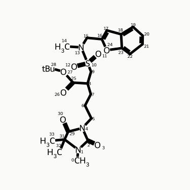 CN1C(=O)N(CCCC(CS(=O)(=O)N(C)Cc2cc3ccccc3o2)C(=O)OC(C)(C)C)C(=O)C1(C)C